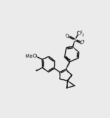 COc1ccc(C2=C(c3ccc(S(=O)(=O)C(F)(F)F)cc3)CC3(CC3)C2)cc1C